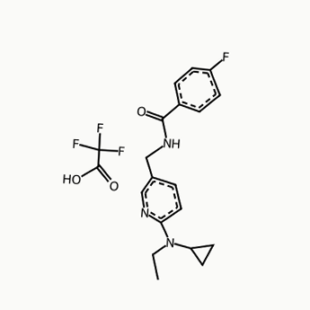 CCN(c1ccc(CNC(=O)c2ccc(F)cc2)cn1)C1CC1.O=C(O)C(F)(F)F